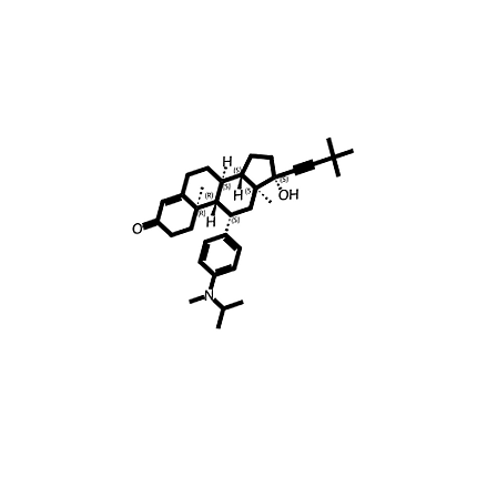 CC(C)N(C)c1ccc([C@H]2C[C@@]3(C)[C@@H](CC[C@@]3(O)C#CC(C)(C)C)[C@@H]3CCC4=CC(=O)CC[C@]4(C)[C@H]32)cc1